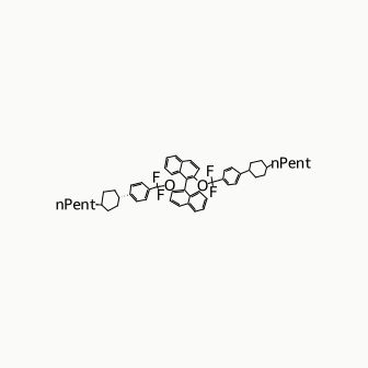 CCCCCC1CCC(c2ccc(C(F)(F)Oc3ccc4ccccc4c3-c3c(OC(F)(F)c4ccc([C@H]5CC[C@H](CCCCC)CC5)cc4)ccc4ccccc34)cc2)CC1